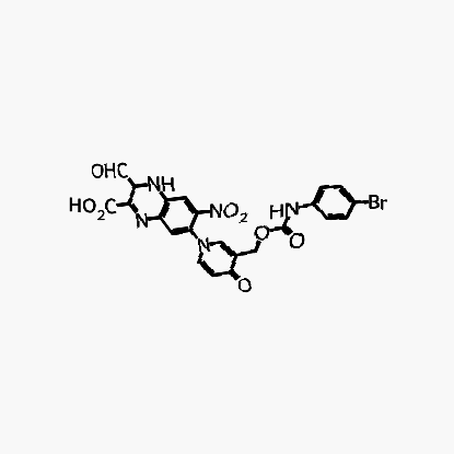 O=CC1Nc2cc([N+](=O)[O-])c(-n3ccc(=O)c(COC(=O)Nc4ccc(Br)cc4)c3)cc2N=C1C(=O)O